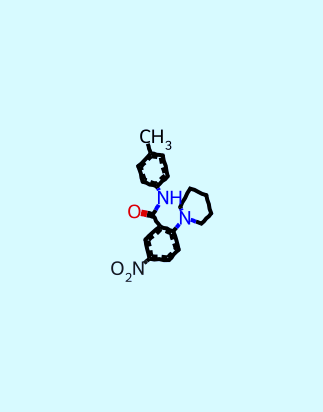 Cc1ccc(NC(=O)c2cc([N+](=O)[O-])ccc2N2CCCCC2)cc1